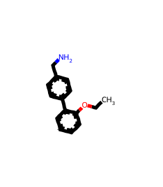 CCOc1cc[c]cc1-c1ccc(CN)cc1